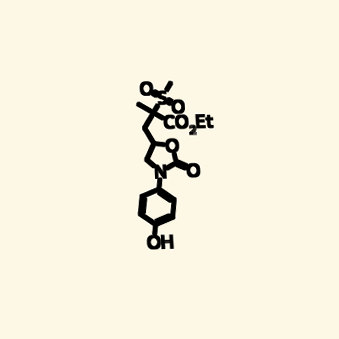 CCOC(=O)C(C)(CC1CN(c2ccc(O)cc2)C(=O)O1)S(C)(=O)=O